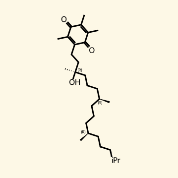 CC1=C(C)C(=O)C(CC[C@](C)(O)CCC[C@@H](C)CCC[C@H](C)CCCC(C)C)=C(C)C1=O